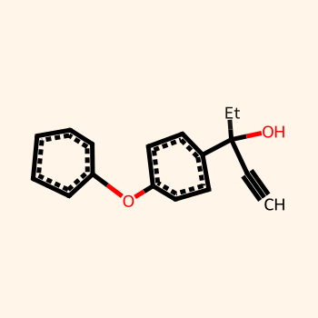 C#CC(O)(CC)c1ccc(Oc2ccccc2)cc1